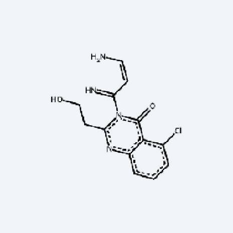 N=C(/C=C\N)n1c(CCO)nc2cccc(Cl)c2c1=O